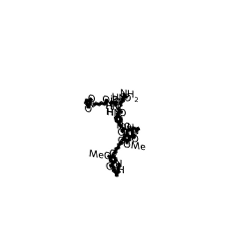 C=C1C[C@H]2C=Nc3cc(OCCCCCOc4cc5c(cc4OC)C(=O)N4CC(=C)C[C@H]4[C@H](O)N5C(=O)OCc4ccc(NC(=O)[C@H](CCCNC(N)=O)NC(=O)[C@@H](NC(=O)CCCCCN5C(=O)C=CC5=O)C(C)C)cc4)c(OC)cc3C(=O)N2C1